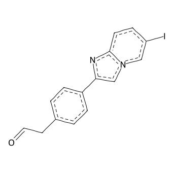 O=CCc1ccc(-c2cn3cc(I)ccc3n2)cc1